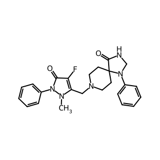 Cn1c(CN2CCC3(CC2)C(=O)NCN3c2ccccc2)c(F)c(=O)n1-c1ccccc1